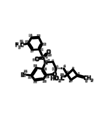 C=C1CC(C[C@H]2CN(S(=O)(=O)c3cccc(C(F)(F)F)c3)c3cc(Br)ccc3O2)(C(=O)O)C1